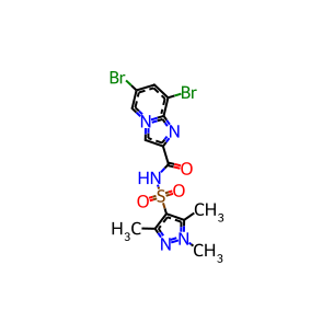 Cc1nn(C)c(C)c1S(=O)(=O)NC(=O)c1cn2cc(Br)cc(Br)c2n1